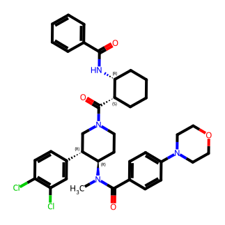 CN(C(=O)c1ccc(N2CCOCC2)cc1)[C@@H]1CCN(C(=O)[C@H]2CCCC[C@H]2NC(=O)c2ccccc2)C[C@H]1c1ccc(Cl)c(Cl)c1